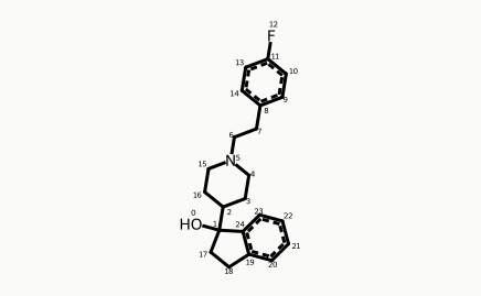 OC1(C2CCN(CCc3ccc(F)cc3)CC2)CCc2ccccc21